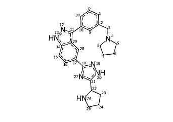 c1cc(CN2CCCC2)cc(-c2n[nH]c3ccc(-c4n[nH]c(C5CCCN5)n4)cc23)c1